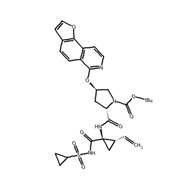 C=C[C@@H]1C[C@]1(NC(=O)[C@@H]1C[C@@H](Oc2nccc3c2ccc2ccoc23)CN1C(=O)OC(C)(C)C)C(=O)NS(=O)(=O)C1CC1